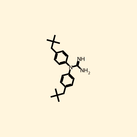 CC(C)(C)Cc1ccc(N(C(=N)N)c2ccc(CC(C)(C)C)cc2)cc1